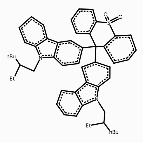 CCCCC(CC)Cn1c2ccccc2c2cc(C3(c4ccc5c(c4)c4ccccc4n5CC(CC)CCCC)c4ccccc4S(=O)(=O)c4ccccc43)ccc21